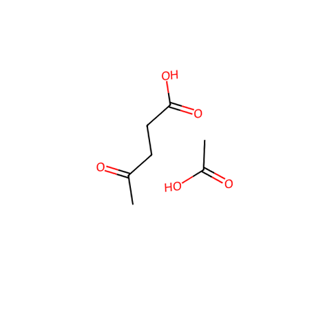 CC(=O)CCC(=O)O.CC(=O)O